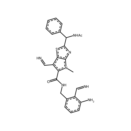 CC(=O)NC(c1ccccc1)c1nc2c(s1)c(C=N)c(C(=O)NCc1cccc(N)c1C=N)n2C